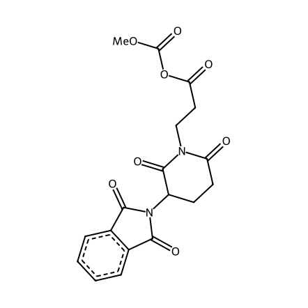 COC(=O)OC(=O)CCN1C(=O)CCC(N2C(=O)c3ccccc3C2=O)C1=O